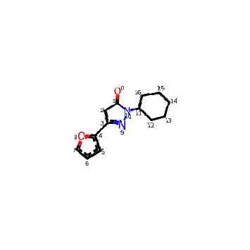 O=C1CC(c2ccco2)=NN1C1CCCCC1